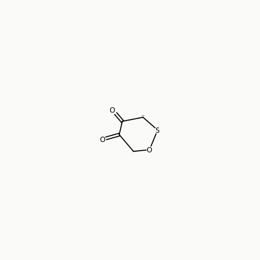 O=C1[C]SOCC1=O